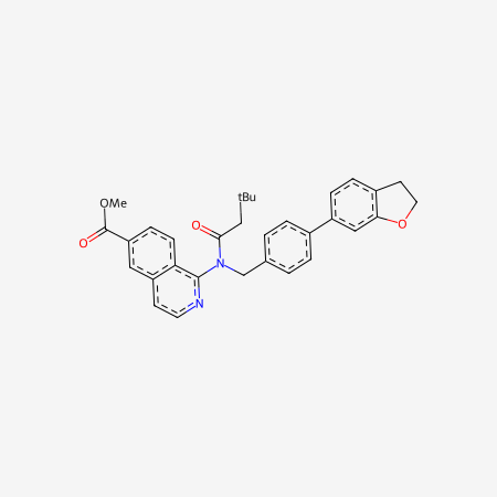 COC(=O)c1ccc2c(N(Cc3ccc(-c4ccc5c(c4)OCC5)cc3)C(=O)CC(C)(C)C)nccc2c1